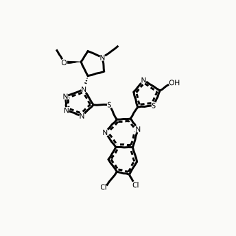 CO[C@H]1CN(C)C[C@@H]1n1nnnc1Sc1nc2cc(Cl)c(Cl)cc2nc1-c1cnc(O)s1